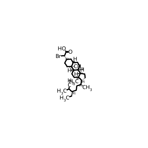 CC[C@H](CC[C@@H](C)[C@H]1CC[C@H]2[C@@H]3CC[C@H]4C[C@@H](C(Br)C(=O)O)CC[C@]4(C)[C@H]3CC[C@]12C)C(C)C